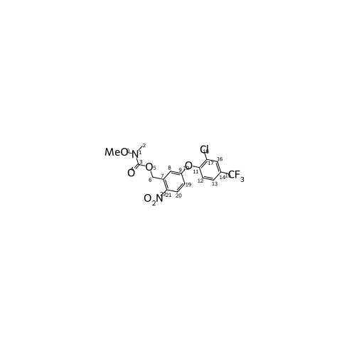 CON(C)C(=O)OCc1cc(Oc2ccc(C(F)(F)F)cc2Cl)ccc1[N+](=O)[O-]